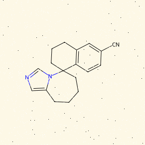 N#Cc1ccc2c(c1)CCCC21CCCCc2cncn21